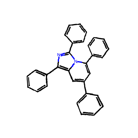 c1ccc(-c2cc(-c3ccccc3)n3c(-c4ccccc4)nc(-c4ccccc4)c3c2)cc1